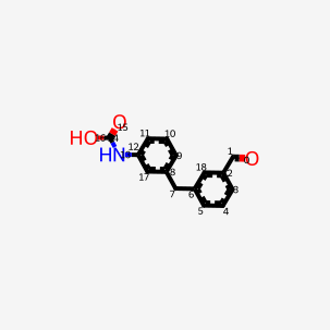 O=Cc1cccc(Cc2cccc(NC(=O)O)c2)c1